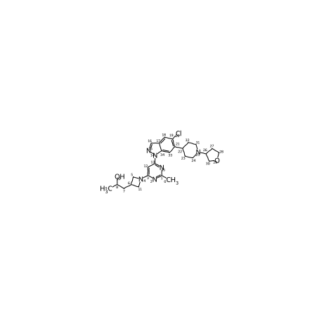 Cc1nc(N2CC(CC(C)O)C2)cc(-n2ncc3cc(Cl)c(C4CCN(C5CCOC5)CC4)cc32)n1